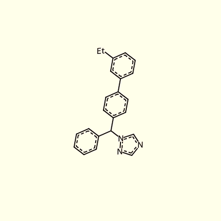 CCc1cccc(-c2ccc(C(c3ccccc3)n3cncn3)cc2)c1